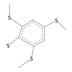 CSc1cc(SC)c([S])c(SC)c1